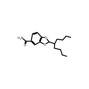 CCCCC(CCCC)C1Oc2ccc(C(N)=O)cc2O1